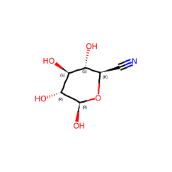 N#C[C@H]1O[C@@H](O)[C@H](O)[C@@H](O)[C@@H]1O